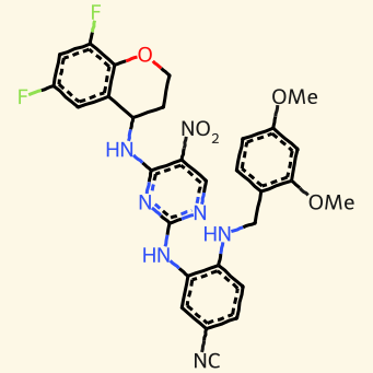 [C-]#[N+]c1ccc(NCc2ccc(OC)cc2OC)c(Nc2ncc([N+](=O)[O-])c(NC3CCOc4c(F)cc(F)cc43)n2)c1